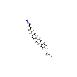 CCCCc1ccc([C@H]2CC[C@H]([C@H]3CC[C@H](CCC=CC=CC#N)CC3)CC2)cc1